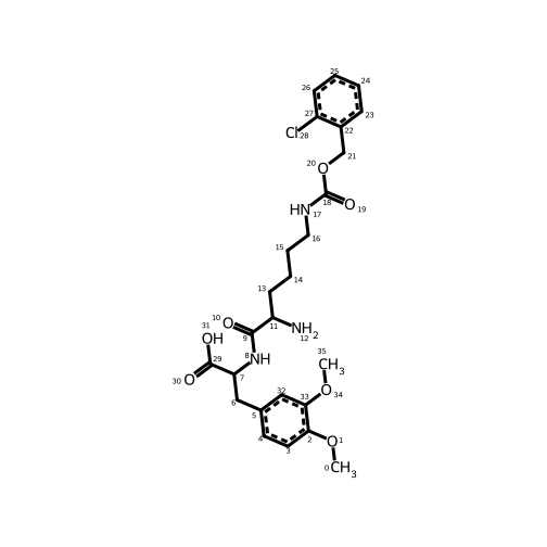 COc1ccc(CC(NC(=O)C(N)CCCCNC(=O)OCc2ccccc2Cl)C(=O)O)cc1OC